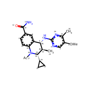 COc1cnc(N[C@H]2c3cc(C(N)=O)ccc3N(C(C)=O)[C@@H](C3CC3)[C@@H]2C)nc1C